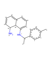 Cc1ccc(C(C)NC2=CC=CC3=CC=CC(N)C32)cc1